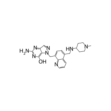 CN1CCC(NCc2ccc(Cn3ncc4nc(N)nc(O)c43)c3ncccc23)CC1